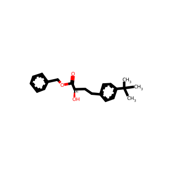 CC(C)(C)c1ccc(CC[C@@H](O)C(=O)OCc2ccccc2)cc1